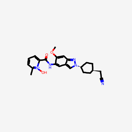 COc1cc2nn([C@H]3CC[C@H](CC#N)CC3)cc2cc1NC(=O)c1cccc(C)[n+]1O